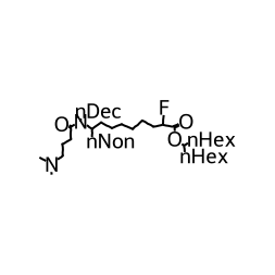 CCCCCCCCCCN(C(=O)CCCN(C)C)C(CCCCCCCCC)CCCCCCC(F)C(=O)OC(CCCCCC)CCCCCC